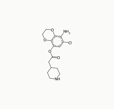 Nc1c(Cl)cc(OC(=O)CC2CCNCC2)c2c1OCCO2